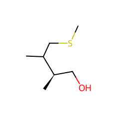 CSCC(C)[C@H](C)CO